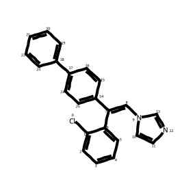 Clc1ccccc1/C(=C\n1ccnc1)c1ccc(-c2ccccc2)cc1